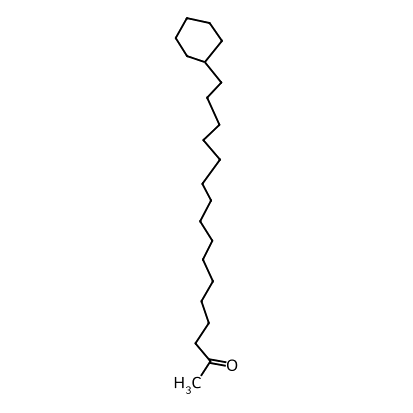 CC(=O)CCCCCCCCCCCCCCC1CCCCC1